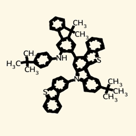 CC(C)(C)c1ccc(Nc2cc3c(cc2-c2cc4c(c5cc(C(C)(C)C)ccc5n4-c4ccc5sc6ccccc6c5c4)c4sc5ccccc5c24)C(C)(C)c2ccccc2-3)cc1